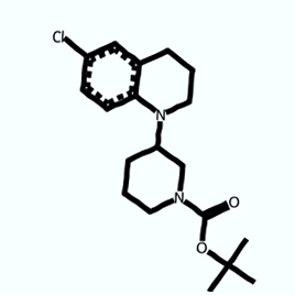 CC(C)(C)OC(=O)N1CCCC(N2CCCc3cc(Cl)ccc32)C1